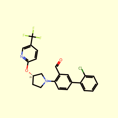 O=Cc1cc(-c2ccccc2Cl)ccc1N1CC[C@H](Oc2ccc(C(F)(F)F)cn2)C1